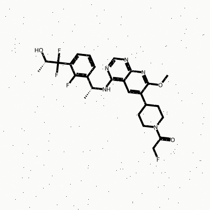 COc1nc2ncnc(N[C@H](C)c3cccc(C(F)(F)[C@H](C)O)c3F)c2cc1C1CCN(C(=O)CF)CC1